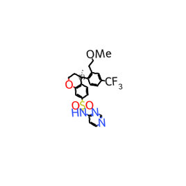 COCCc1cc(C(F)(F)F)ccc1[C@]1(C)CCOc2cc(S(=O)(=O)Nc3ccncn3)ccc21